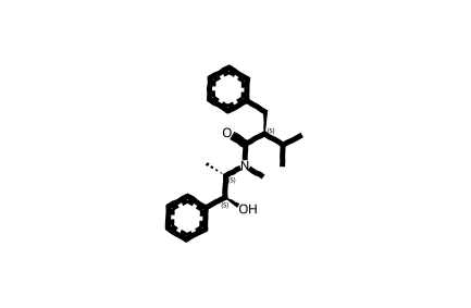 CC(C)[C@H](Cc1ccccc1)C(=O)N(C)[C@@H](C)[C@@H](O)c1ccccc1